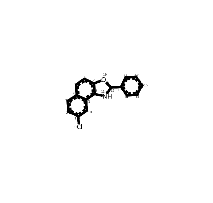 Clc1ccc2ccc3c(c2c1)NC(c1ccccc1)O3